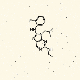 CCNc1ncc2nc(Nc3ccccc3F)n(CC(C)C)c2n1